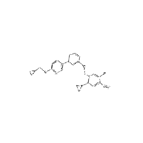 O=C(O)c1cc(C2CC2)c(COc2cccc(-c3ccc(OCC4CC4)nc3)c2)cc1F